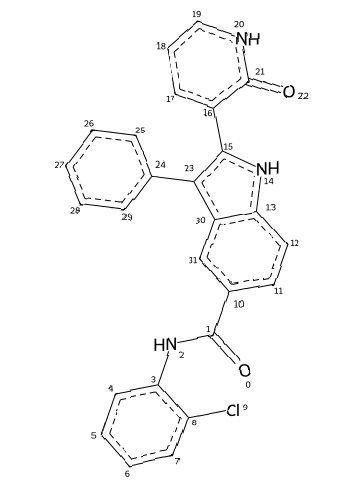 O=C(Nc1ccccc1Cl)c1ccc2[nH]c(-c3ccc[nH]c3=O)c(-c3ccccc3)c2c1